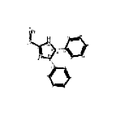 CCCSC1=N[C@@H](c2ccccc2)[C@@H](c2ccccc2)N1